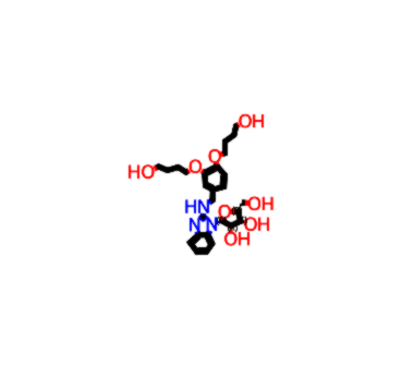 OCCCCOc1ccc(CNc2nc3ccccc3n2[C@@H]2O[C@H](CO)[C@@H](O)[C@H]2O)cc1OCCCCO